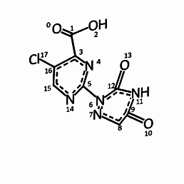 O=C(O)c1nc(-n2ncc(=O)[nH]c2=O)ncc1Cl